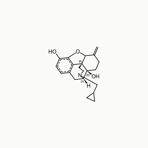 C=C1CC[C@]2(O)[C@@H]3Cc4ccc(O)c5c4[C@]2(CCN3CC2CC2)C1O5